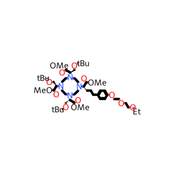 CCOCCOCCOc1ccc(CCC[C@@H](C(=O)OC)N2CCN([C@H](COC(C)(C)C)C(=O)OC)CCN([C@H](COC(C)(C)C)C(=O)OC)CCN([C@@H](COC(C)(C)C)C(=O)OC)CC2)cc1